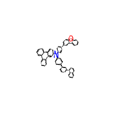 c1cc(-c2ccc(N(c3ccc(-c4ccc5oc6ccccc6c5c4)cc3)c3ccc4c5ccccc5c5ccccc5c4c3)cc2)cc(-c2cccc3ccccc23)c1